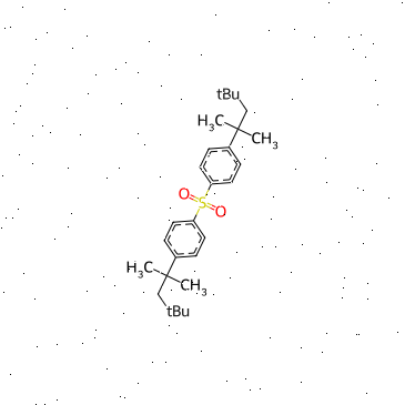 CC(C)(C)CC(C)(C)c1ccc(S(=O)(=O)c2ccc(C(C)(C)CC(C)(C)C)cc2)cc1